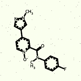 CN(C(=O)c1cc(-c2cnn(C)c2)cc[n+]1[O-])c1ccc(F)cc1